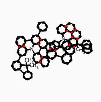 CC1(C)c2ccccc2-c2cccc(-c3cccc(N(c4ccc(-c5ccccc5)cc4-c4ccccc4)c4ccccc4-c4cccc5cc(-c6ccc7c(c6)-c6c(-c8ccccc8N(c8ccc(-c9ccccc9)cc8-c8ccccc8)c8ccccc8-c8cccc9cccc(-c%10ccccc%10)c89)cccc6C7(C)c6ccccc6)cc(-c6ccccc6)c45)c3)c21